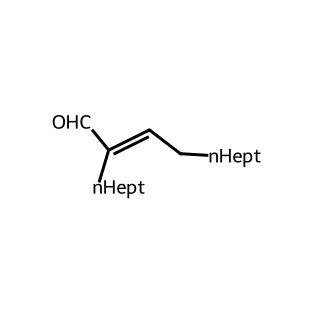 CCCCCCCCC=C(C=O)CCCCCCC